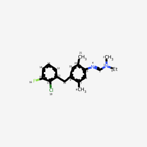 CCN(C)C=Nc1cc(C)c(Cc2cccc(F)c2Cl)cc1C